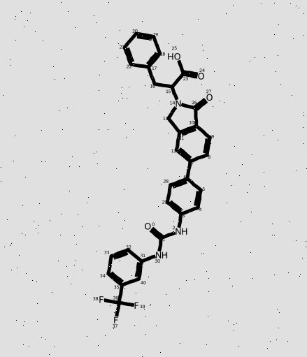 O=C(Nc1ccc(-c2ccc3c(c2)CN(C(Cc2ccccc2)C(=O)O)C3=O)cc1)Nc1cccc(C(F)(F)F)c1